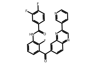 O=C(Nc1cccc(C(=O)c2ccc3ncc(-c4cccnc4)nc3c2)c1F)c1ccc(F)c(F)c1